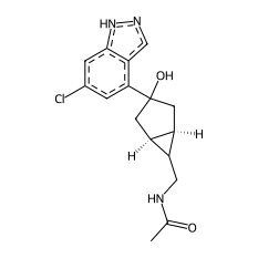 CC(=O)NCC1[C@H]2CC(O)(c3cc(Cl)cc4[nH]ncc34)C[C@@H]12